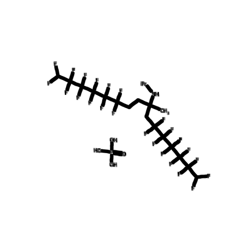 CC(C)NC(C)(CCC(F)(F)C(F)(F)C(F)(F)C(F)(F)C(F)(F)C(F)F)CC(F)(F)C(F)(F)C(F)(F)C(F)(F)C(F)(F)C(F)F.O=P(O)(O)O